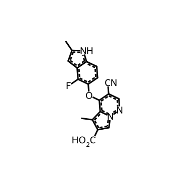 Cc1cc2c(F)c(Oc3c(C#N)cnn4cc(C(=O)O)c(C)c34)ccc2[nH]1